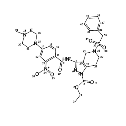 CCOC(=O)n1nc(NC(=O)c2ccc(N3CCN(C)CC3)cc2[N+](=O)[O-])c2c1CCN(S(=O)(=O)Cc1ccccc1)C2